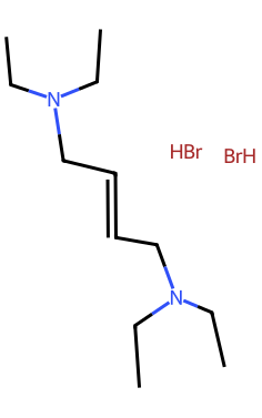 Br.Br.CCN(CC)C/C=C/CN(CC)CC